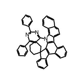 c1ccc(-c2cc(-n3c4c5c(c6ccccc6c4c4ccc6ccccc6c43)-c3ccccc3C53CCCCC3)nc(-c3ccccc3)n2)cc1